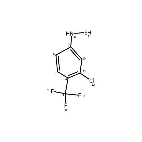 FC(F)(F)c1ccc(NS)cc1Cl